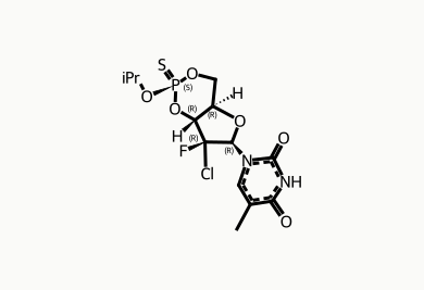 Cc1cn([C@@H]2O[C@@H]3CO[P@](=S)(OC(C)C)O[C@H]3[C@@]2(F)Cl)c(=O)[nH]c1=O